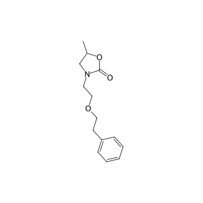 CC1CN(CCOCCc2ccccc2)C(=O)O1